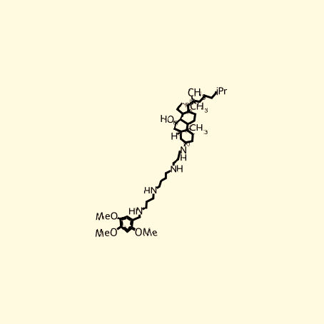 COc1cc(OC)c(OC)cc1CNCCCNCCCCNCCCN[C@@H]1CC[C@]2(C)C3CC[C@@]4(C)C(CC[C@@H]4[C@@H](C)CCCC(C)C)C3[C@@H](O)C[C@H]2C1